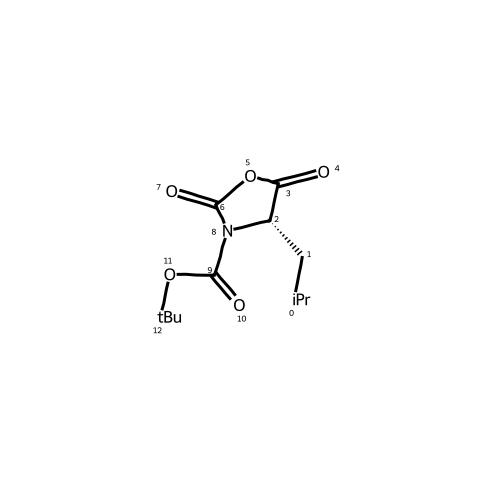 CC(C)C[C@H]1C(=O)OC(=O)N1C(=O)OC(C)(C)C